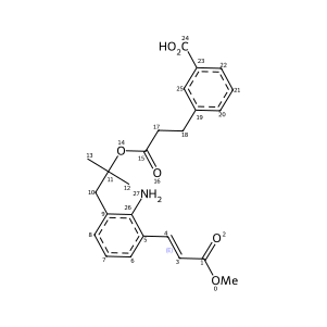 COC(=O)/C=C/c1cccc(CC(C)(C)OC(=O)CCc2cccc(C(=O)O)c2)c1N